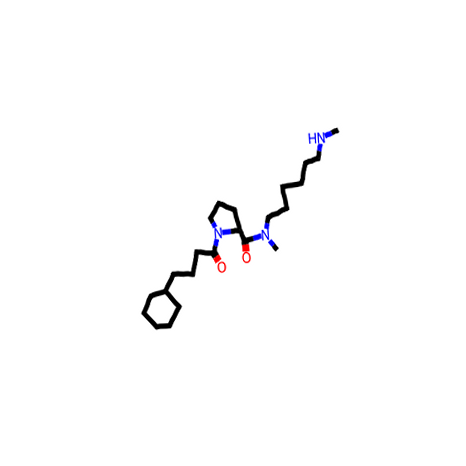 CNCCCCCCN(C)C(=O)C1CCCN1C(=O)CCCC1CCCCC1